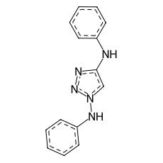 c1ccc(Nc2cn(Nc3ccccc3)nn2)cc1